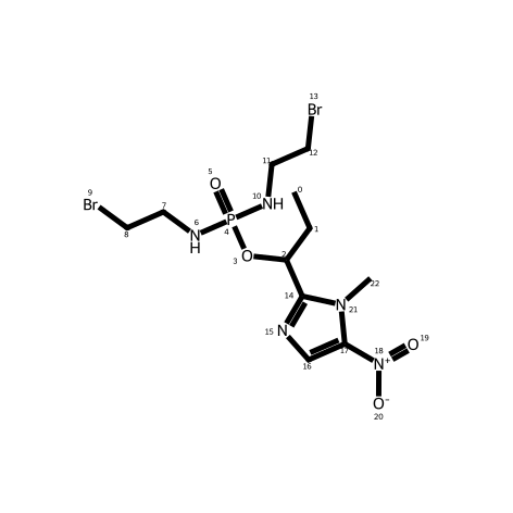 CCC(OP(=O)(NCCBr)NCCBr)c1ncc([N+](=O)[O-])n1C